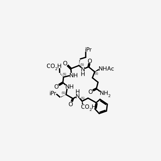 CC(=O)N[C@@H](CCC(N)=O)C(=O)N[C@@H](CCC(C)C)C(=O)N[C@@H](CC(=O)O)C(=O)N[C@@H](CC(C)C)C(=O)N[C@@H](Cc1ccccc1)C(=O)O